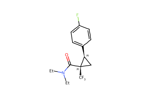 CCN(CC)C(=O)[C@@]1(C(F)(F)F)C[C@@H]1c1ccc(F)cc1